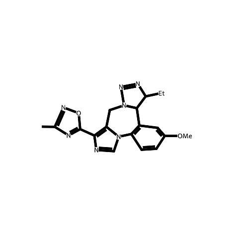 CCC1N=NN2Cc3c(-c4nc(C)no4)ncn3-c3ccc(OC)cc3C12